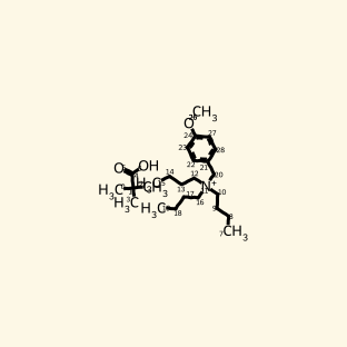 CC(C)(C)C(=O)O.CCCC[N+](CCCC)(CCCC)Cc1ccc(OC)cc1